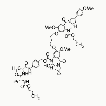 C=CCOC(=O)NC(C(=O)NC(C)C(=O)Nc1ccc(COC(=O)N2c3cc(OCCCCCOc4cc5c(cc4OC)C(=O)N4C=C(c6ccc(OC)cc6)C[C@H]4CN5C(=O)OCC=C)c(OC)cc3C(=O)N3CC4(CC4)C[C@H]3C2O)cc1)C(C)C